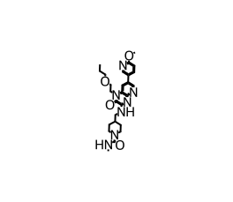 CCCOCCn1c(=O)c(NCC2CCN(C(=O)NC)CC2)nc2ncc(-c3ccc(OC)nc3)cc21